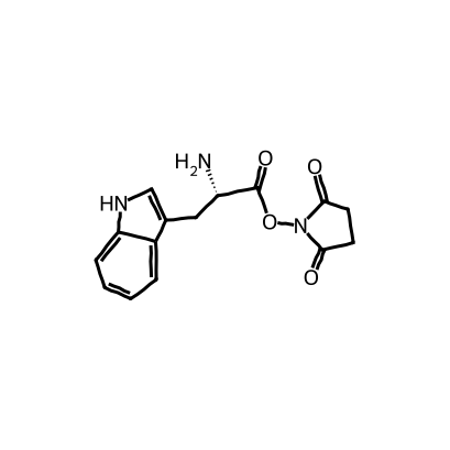 N[C@@H](Cc1c[nH]c2ccccc12)C(=O)ON1C(=O)CCC1=O